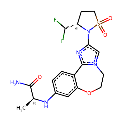 C[C@H](Nc1ccc2c(c1)OCCn1cc(N3[C@H](C(F)F)CCS3(=O)=O)nc1-2)C(N)=O